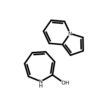 OC1=CC=CC=CN1.c1ccn2cccc2c1